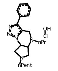 CCCCCN1CC2C(C1)n1nnc(-c3ccccc3)c1CN2CCC.OCl